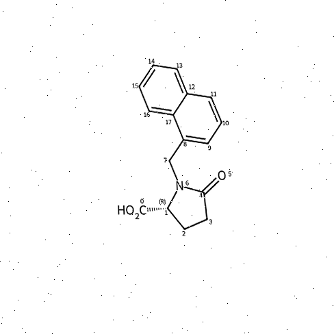 O=C(O)[C@H]1CCC(=O)N1Cc1cccc2ccccc12